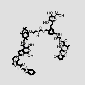 C/C(NCC1(C)CC2(C)CC(C)(C)CC(OCCNC(=O)OCc3ccc(NC(=O)CNC(=O)C(NC(=O)CN4C(=O)C=CC4=O)C(C)C)cc3CC[C@@H]3O[C@H](C(=O)O)[C@@H](O)C[C@H]3O)(C1)C2)=C(/C=N)c1ccc(N2CCn3cnc(C(=O)Nc4nc5ccccc5s4)c3C2)nc1C(=O)O